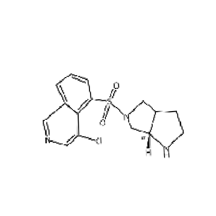 O=S(=O)(c1cccc2cncc(Cl)c12)N1CC2CCN[C@@H]2C1